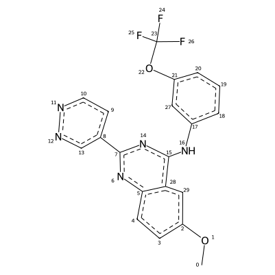 COc1ccc2nc(-c3ccnnc3)nc(Nc3cccc(OC(F)(F)F)c3)c2c1